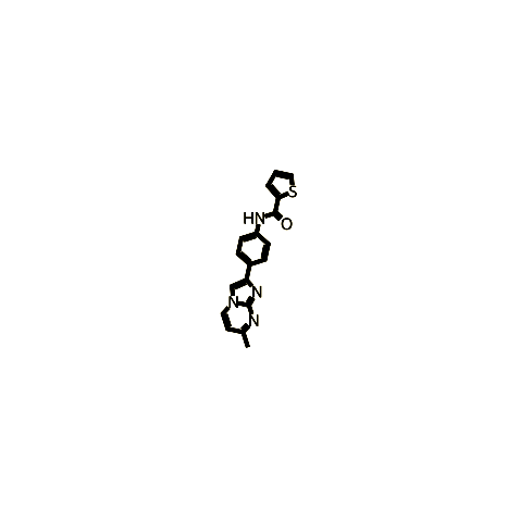 Cc1ccn2cc(-c3ccc(NC(=O)c4cccs4)cc3)nc2n1